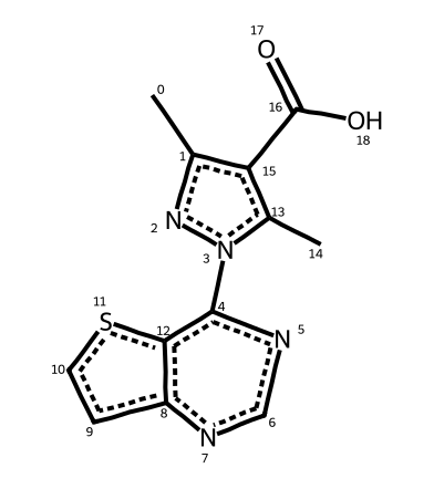 Cc1nn(-c2ncnc3ccsc23)c(C)c1C(=O)O